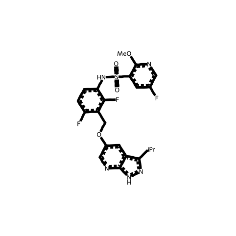 COc1ncc(F)cc1S(=O)(=O)Nc1ccc(F)c(COc2cnc3[nH]nc(C(C)C)c3c2)c1F